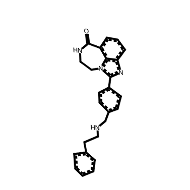 O=C1NCCn2c(-c3ccc(CNCCc4ccccc4)cc3)nc3cccc1c32